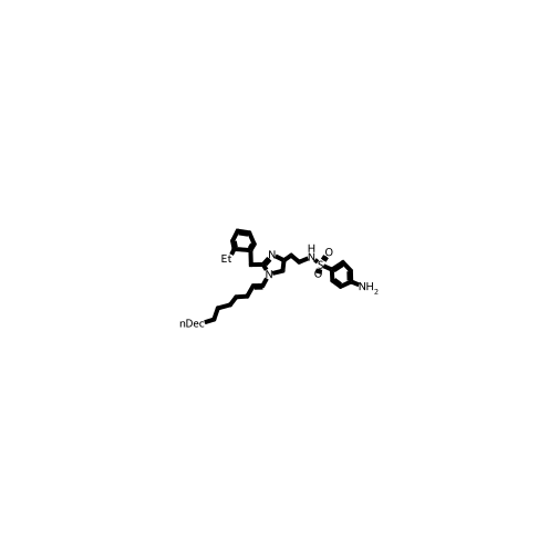 CCCCCCCCCCCCCCCC=CN1CC(CCNS(=O)(=O)c2ccc(N)cc2)N=C1Cc1ccccc1CC